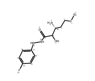 CCSCC[C@@H](N)C(O)C(=O)NNc1ccc(F)cc1